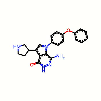 Nc1n[nH]c(=O)c2c(C3CCNC3)cn(-c3ccc(Oc4ccccc4)cc3)c12